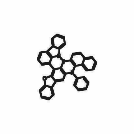 c1ccc(N2c3cc4c(oc5ccccc54)c4c3B(c3ccc5ccccc5c32)n2c3ccccc3c3cccc-4c32)cc1